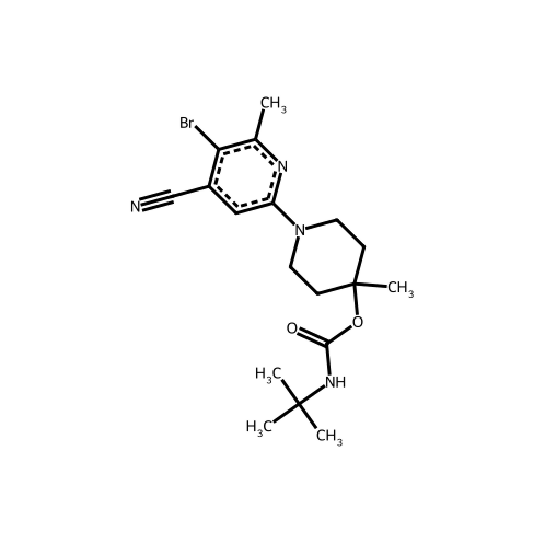 Cc1nc(N2CCC(C)(OC(=O)NC(C)(C)C)CC2)cc(C#N)c1Br